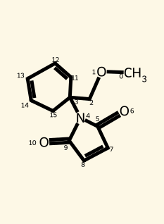 COCC1(N2C(=O)C=CC2=O)C=CC=CC1